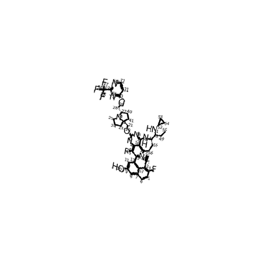 C#Cc1c(F)ccc2cc(O)cc(-c3nc4c5c(nc(OC[C@@]67CCCN6[C@H](COc6ccnc(C(F)(F)F)n6)CC7)nc5c3F)N[C@@H]([C@H](CC)NC3CC3)CC4)c12